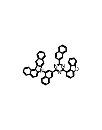 c1ccc2cc(-c3nc(-c4cc(-n5c6cc7ccccc7cc6c6c7ccccc7ccc65)c5ccccc5c4)nc(-c4cccc5oc6ccccc6c45)n3)ccc2c1